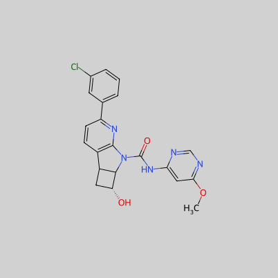 COc1cc(NC(=O)N2c3nc(-c4cccc(Cl)c4)ccc3C3C[C@@H](O)C32)ncn1